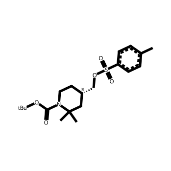 Cc1ccc(S(=O)(=O)OC[C@H]2CCN(C(=O)OC(C)(C)C)C(C)(C)C2)cc1